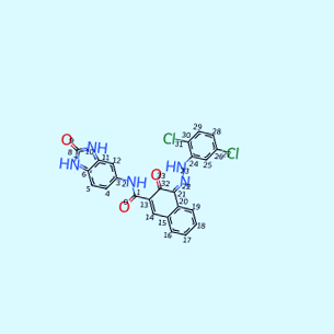 O=C(Nc1ccc2[nH]c(=O)[nH]c2c1)C1=Cc2ccccc2/C(=N/Nc2cc(Cl)ccc2Cl)C1=O